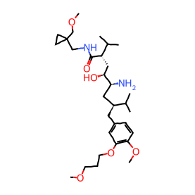 COCCCOc1cc(C[C@@H](C[C@H](N)[C@@H](O)C[C@H](C(=O)NCC2(COC)CC2)C(C)C)C(C)C)ccc1OC